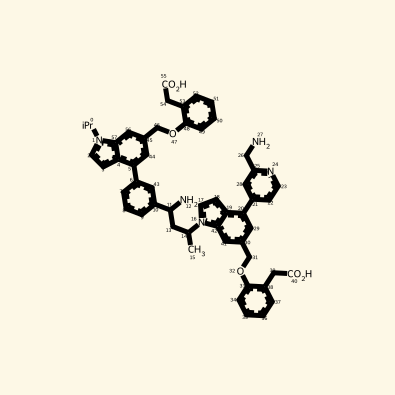 CC(C)n1ccc2c(-c3cccc(C(N)CC(C)n4ccc5c(-c6ccnc(CN)c6)cc(COc6ccccc6CC(=O)O)cc54)c3)cc(COc3ccccc3CC(=O)O)cc21